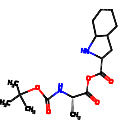 C[C@H](NC(=O)OC(C)(C)C)C(=O)OC(=O)C1CC2CCCCC2N1